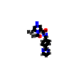 CC(C)C(=O)N1[C@H](C)CNC[C@@H]1C(=O)NCc1ccc(-c2ncccn2)cc1